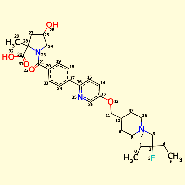 CCC(F)(CC)CN1CCC(COc2ccc(-c3ccc(C(=O)N4CC(O)CC4(C)C(=O)O)cc3)nc2)CC1